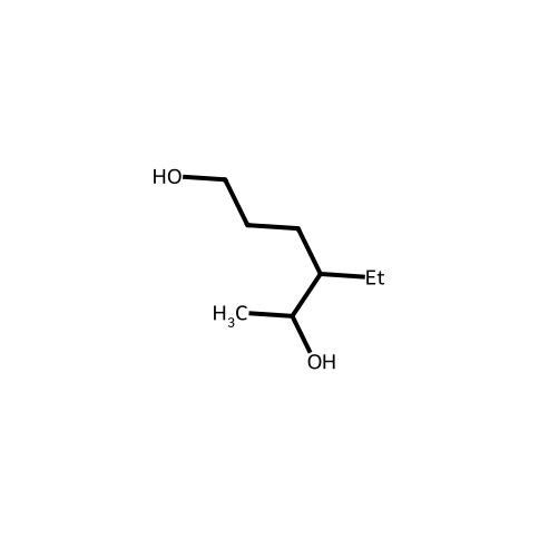 CCC(CCCO)C(C)O